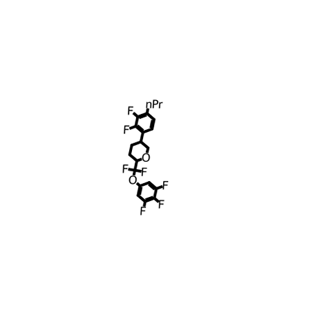 CCCc1ccc(C2CCC(C(F)(F)Oc3cc(F)c(F)c(F)c3)OC2)c(F)c1F